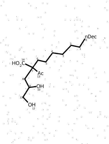 CCCCCCCCCCCCCCCCC(CC(O)CO)(C(C)=O)C(=O)O